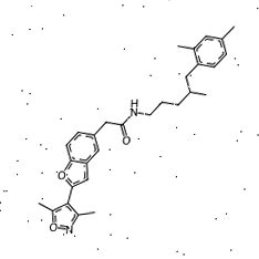 Cc1ccc(CC(C)CCCNC(=O)Cc2ccc3oc(-c4c(C)noc4C)cc3c2)c(C)c1